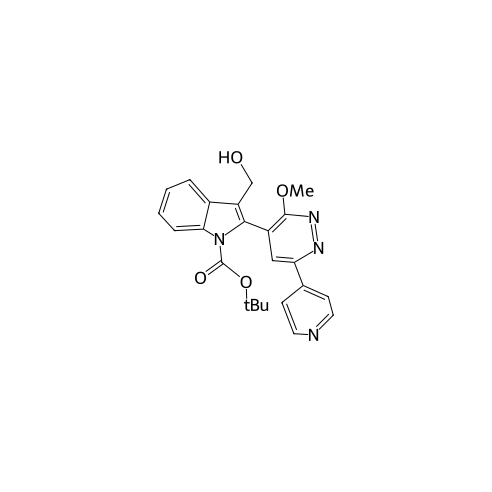 COc1nnc(-c2ccncc2)cc1-c1c(CO)c2ccccc2n1C(=O)OC(C)(C)C